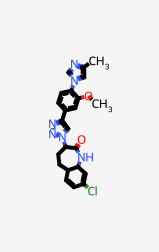 COc1cc(-c2cn(C3CCC4C=CC(Cl)=CC4NC3=O)nn2)ccc1-n1cnc(C)c1